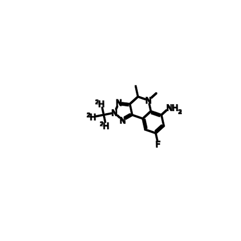 [2H]C([2H])([2H])n1nc2c(n1)C(C)N(C)c1c(N)cc(F)cc1-2